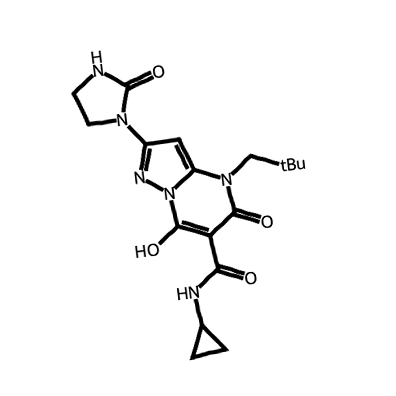 CC(C)(C)Cn1c(=O)c(C(=O)NC2CC2)c(O)n2nc(N3CCNC3=O)cc12